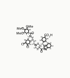 COc1cc(C(=O)N(C)CC(CCN2CCC(C(=O)c3nc4ccccc4n3Cc3ccc(C(=O)O)cc3)CC2)c2ccc(Cl)c(Cl)c2)cc(OC)c1OC